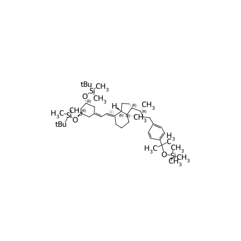 C[C@H](CCc1ccc(C(C)(C)O[Si](C)(C)C)cc1)[C@H]1CC[C@H]2/C(=C/C=C3C[C@@H](O[Si](C)(C)C(C)(C)C)C[C@H](O[Si](C)(C)C(C)(C)C)C3)CCC[C@]12C